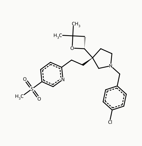 CC1(C)C[C@H]([C@]2(CCc3ccc(S(C)(=O)=O)cn3)CCN(Cc3ccc(Cl)cc3)C2)O1